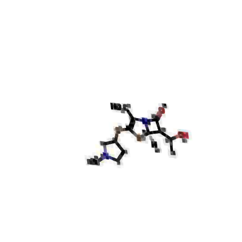 CCCCN1CCC(SC2=C(C(=O)O)N3C(=O)C(C(C)O)[C@H]3S2)C1